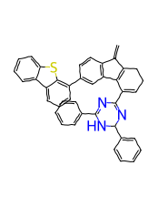 C=C1C2=C(C(C3=NC(c4ccccc4)NC(c4ccccc4)=N3)=CCC2)c2cc(-c3cccc4c3sc3ccccc34)ccc21